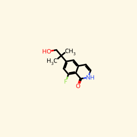 CC(C)(CO)c1cc(F)c2c(=O)[nH]ccc2c1